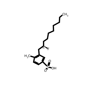 CCCCCCCC[C@@H](F)Cc1cc(S(=O)(=O)O)ccc1C